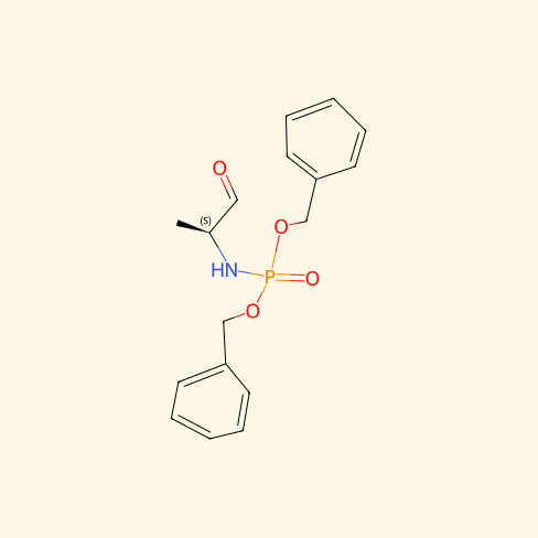 C[C@@H](C=O)NP(=O)(OCc1ccccc1)OCc1ccccc1